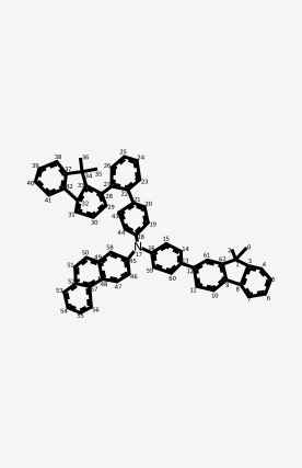 CC1(C)c2ccccc2-c2ccc(-c3ccc(N(c4ccc(-c5ccccc5-c5cccc6c5C(C)(C)c5ccccc5-6)cc4)c4ccc5c(ccc6ccccc65)c4)cc3)cc21